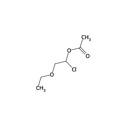 CCOCC(Cl)OC(C)=O